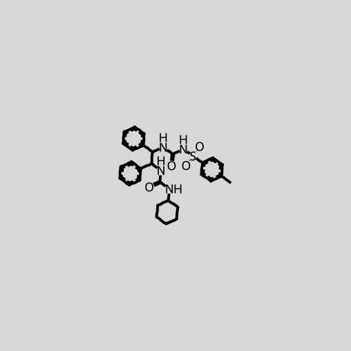 Cc1ccc(S(=O)(=O)NC(=O)NC(c2ccccc2)C(NC(=O)NC2CCCCC2)c2ccccc2)cc1